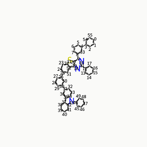 c1ccc(-c2cccc(-c3nc(-c4ccccc4)nc4c3sc3ccc(-c5cccc(-c6ccc7c(c6)c6ccccc6n7-c6ccccc6)c5)cc34)c2)cc1